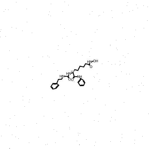 O=C(CCCCC[C@H](NC(=O)NCCc1ccccc1)C(=O)Nc1ccccc1)NO